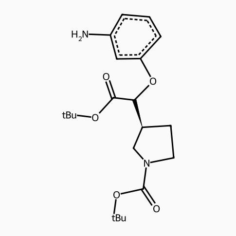 CC(C)(C)OC(=O)C(Oc1cccc(N)c1)[C@H]1CCN(C(=O)OC(C)(C)C)C1